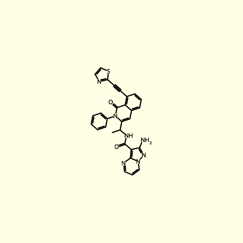 CC(NC(=O)c1c(N)nn2cccnc12)c1cc2cccc(C#Cc3nccs3)c2c(=O)n1-c1ccccc1